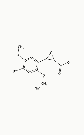 COc1cc(C2OC2C(=O)[O-])c(OC)cc1Br.[Na+]